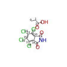 CCC(=O)O.O=C1NC(=O)c2c(Cl)c(Cl)c(Cl)c(Cl)c21